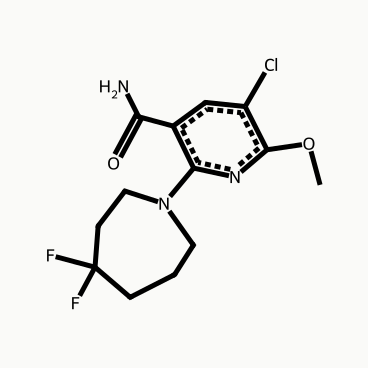 COc1nc(N2CCCC(F)(F)CC2)c(C(N)=O)cc1Cl